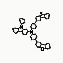 c1ccc(-n2c3ccccc3c3ccc(N(c4ccc(-c5ccc6oc7ccccc7c6c5)cc4)c4ccc(-c5ccc6sc7ccccc7c6c5)cc4)cc32)cc1